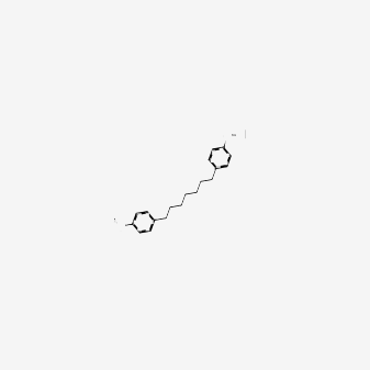 COc1ccc(CCCCCCCc2ccc(OC)cc2)cc1